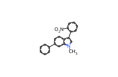 Cn1cc(-c2ccccc2[N+](=O)[O-])c2ccc(-c3ccccc3)cc21